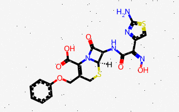 Nc1nc(/C(=N/O)C(=O)NC2C(=O)N3C(C(=O)O)=C(COc4ccccc4)CS[C@H]23)cs1